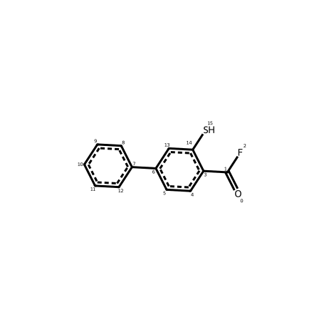 O=C(F)c1ccc(-c2ccccc2)cc1S